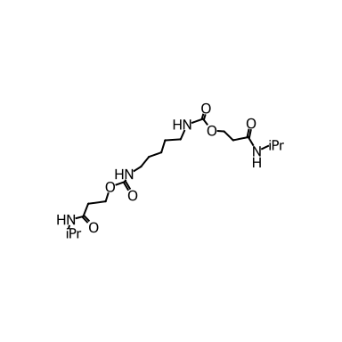 CC(C)NC(=O)CCOC(=O)NCCCCCNC(=O)OCCC(=O)NC(C)C